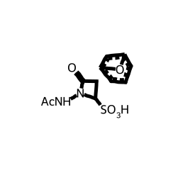 CC(=O)NN1C(=O)CC1S(=O)(=O)O.c1cc2cc(c1)O2